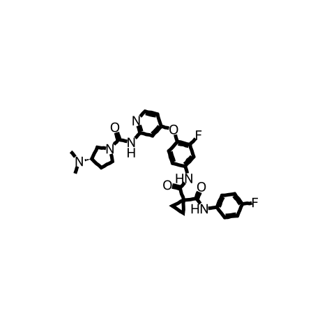 CN(C)[C@H]1CCN(C(=O)Nc2cc(Oc3ccc(NC(=O)C4(C(=O)Nc5ccc(F)cc5)CC4)cc3F)ccn2)C1